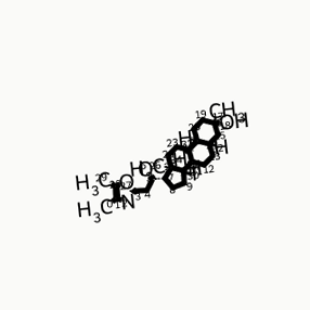 Cc1nc(CC(=O)[C@H]2CC[C@H]3[C@@H]4CC[C@H]5C[C@](C)(O)CC[C@@H]5[C@H]4CC[C@]23C)oc1C